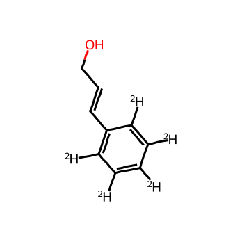 [2H]c1c([2H])c([2H])c(/C=C/CO)c([2H])c1[2H]